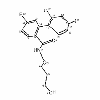 O=C(NOCCCO)c1ccc(F)cc1-c1ccc(I)cc1Cl